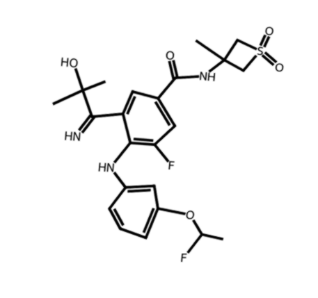 CC(F)Oc1cccc(Nc2c(F)cc(C(=O)NC3(C)CS(=O)(=O)C3)cc2C(=N)C(C)(C)O)c1